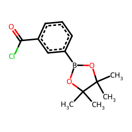 CC1(C)OB(c2cccc(C(=O)Cl)c2)OC1(C)C